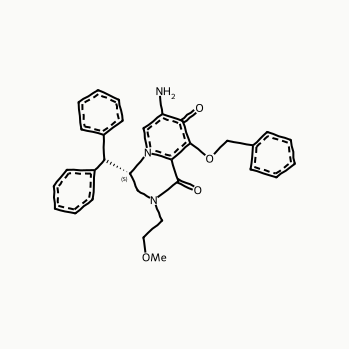 COCCN1C[C@H](C(c2ccccc2)c2ccccc2)n2cc(N)c(=O)c(OCc3ccccc3)c2C1=O